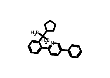 BC(B)(c1ccccc1-c1ccc(-c2ccccc2)cn1)C1CCCC1